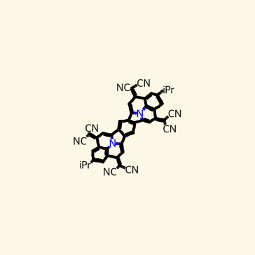 CC(C)c1cc2c(=C(C#N)C#N)cc3c4cc5c(cc4c4cc(=C(C#N)C#N)c(c1)c2n34)c1cc(=C(C#N)C#N)c2cc(C(C)C)cc3c(=C(C#N)C#N)cc5n1c32